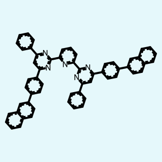 c1ccc(-c2cc(-c3ccc(-c4ccc5ccccc5c4)cc3)nc(-c3cccc(-c4nc(-c5ccccc5)cc(-c5ccc(-c6ccc7ccccc7c6)cc5)n4)n3)n2)cc1